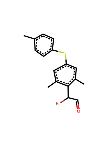 Cc1ccc(Sc2cc(C)c(C(Br)C=O)c(C)c2)cc1